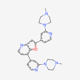 CN1CCN(c2cc(-c3cc4nccc(-c5ccnc(N6CCN(C)CC6)c5)c4o3)ccn2)CC1